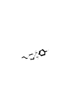 CCCN1CCN(S(=O)(=O)c2ccc(C)cc2)CC1